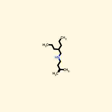 C=C(C)CCNCC(CCC)CCC